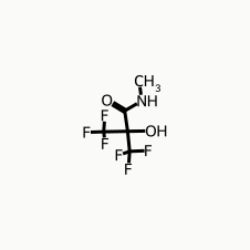 CNC(=O)C(O)(C(F)(F)F)C(F)(F)F